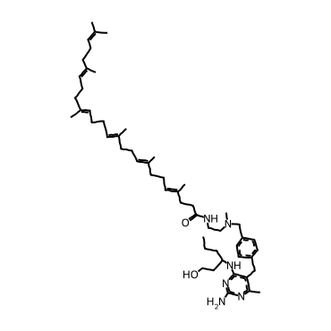 CCCC(CCO)Nc1nc(N)nc(C)c1Cc1ccc(CN(C)CCNC(=O)CC/C(C)=C/CC/C(C)=C/CC/C(C)=C/CC/C=C(\C)CC/C=C(\C)CCC=C(C)C)cc1